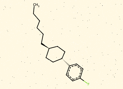 CCCCCC[C@H]1CC[C@H](c2ccc(F)cc2)CC1